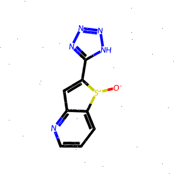 [O-][s+]1c(-c2nnn[nH]2)cc2ncccc21